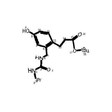 CC(C)NC(=O)NCc1cc(O)ccc1CCC(=O)OC(C)(C)C